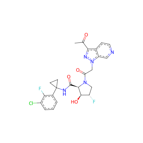 CC(=O)c1nn(CC(=O)N2C[C@H](F)[C@@H](O)[C@H]2C(=O)NC2(c3cccc(Cl)c3F)CC2)c2cnccc12